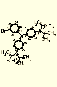 CC(C)N(c1ccc(C(c2ccc(N(C(C)C)C(C)C)cc2)c2cccc(Br)c2)cc1)C(C)C